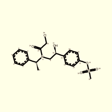 C[C@@H](c1ccccc1)N(C[C@@H](O)c1ccc(OS(C)(=O)=O)cc1)C(=O)CCl